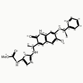 COC(=O)Nc1cnc(N[C@@H](C)c2cc3cc(Cl)c(O[C@H](C)c4ccccn4)cc3[nH]c2=O)s1